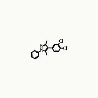 Cc1nn(-c2ccccc2)c(C)c1-c1ccc(Cl)c(Cl)c1